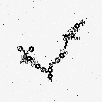 Cc1ncsc1-c1ccc([C@H](C)NC(=O)[C@@H]2C[C@@H](O)CN2C(=O)[C@@H](NC(=O)CCCCCNC(=O)c2ccc(N3CCN(CCN(C)CC4(C)CCC(c5ccc(Cl)cc5)=C(CN5CCN(c6ccc(C(=O)NS(=O)(=O)c7ccc(N[C@H](CCN8CCOCC8)CSc8ccccc8)c(S(=O)(=O)C(F)(F)F)c7)cc6)CC5)C4)CC3)cc2)C(C)(C)C)cc1